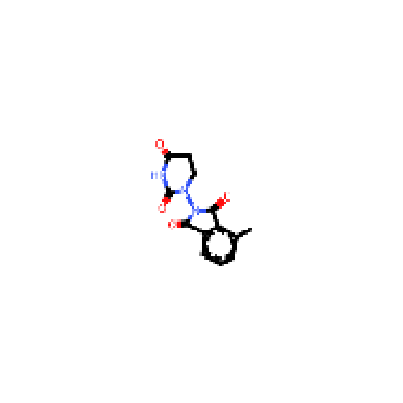 Cc1cccc2c1C(=O)N(N1CCC(=O)NC1=O)C2=O